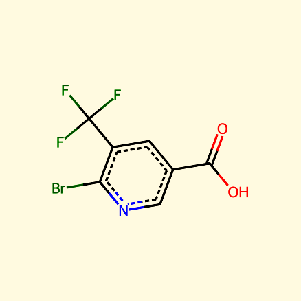 O=C(O)c1cnc(Br)c(C(F)(F)F)c1